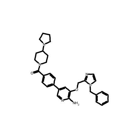 Nc1ncc(-c2ccc(C(=O)N3CCC(N4CCCC4)CC3)cc2)cc1OCc1nccn1Cc1ccccc1